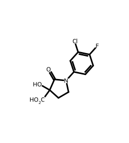 O=C(O)C1(O)CCN(c2ccc(F)c(Cl)c2)C1=O